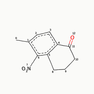 Cc1ccc2c(c1[N+](=O)[O-])CCCC2=O